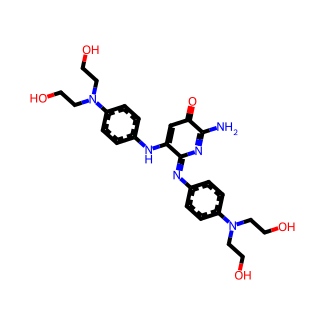 NC1=N/C(=N\c2ccc(N(CCO)CCO)cc2)C(Nc2ccc(N(CCO)CCO)cc2)=CC1=O